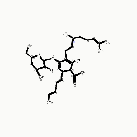 CCCCCC1C=C(OC2O[C@H](CO)CC(O)C2O)C(C/C=C(\C)CCC=C(C)C)=C(O)C1C(=O)O